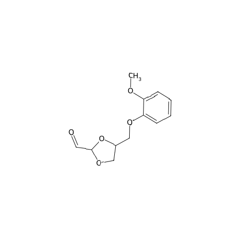 COc1ccccc1OCC1COC(C=O)O1